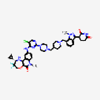 Cn1nc(C2CCC(=O)NC2=O)c2cccc(CN3CCC(CN4CCN(c5ncc(Cl)c(Nc6ccc7c(c6)c6c(c(=O)n7C)OCC(F)(F)[C@H](C7CC7)N6)n5)CC4)CC3)c21